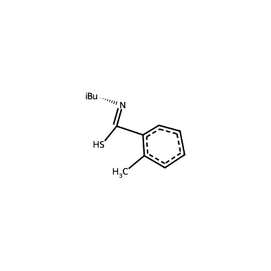 CC[C@@H](C)/N=C(\S)c1ccccc1C